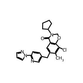 Cc1c(Cc2ccc(-n3cccn3)nc2)cc2c(c1Cl)OCN(C1CCCC1)C2=O